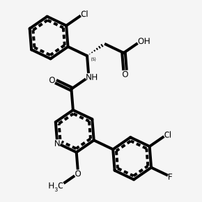 COc1ncc(C(=O)N[C@@H](CC(=O)O)c2ccccc2Cl)cc1-c1ccc(F)c(Cl)c1